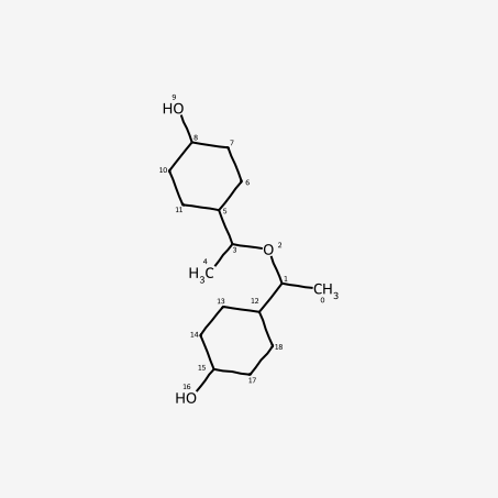 CC(OC(C)C1CCC(O)CC1)C1CCC(O)CC1